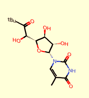 Cc1cn([C@@H]2O[C@H](C(O)C(=O)C(C)(C)C)[C@@H](O)[C@@H]2O)c(=O)[nH]c1=O